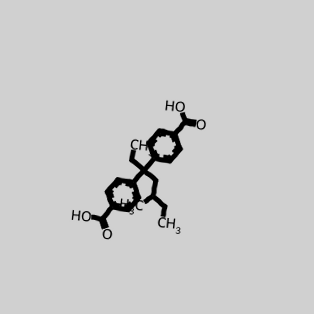 CCC(C)CC(CC)(c1ccc(C(=O)O)cc1)c1ccc(C(=O)O)cc1